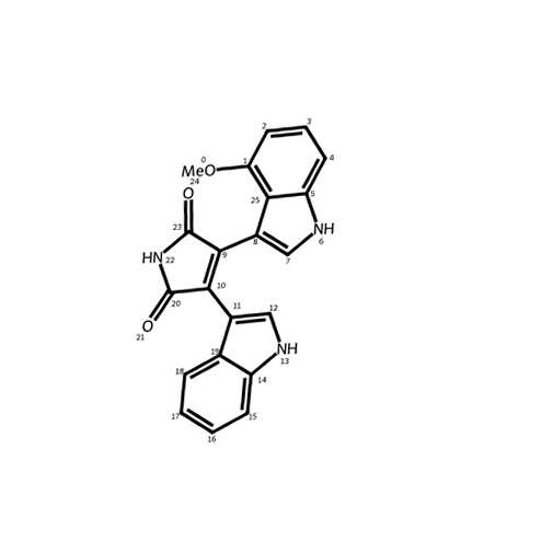 COc1cccc2[nH]cc(C3=C(c4c[nH]c5ccccc45)C(=O)NC3=O)c12